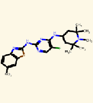 CN1C(C)(C)CC(Nc2nc(Nc3nc4ccc([N+](=O)[O-])cc4s3)ncc2F)CC1(C)C